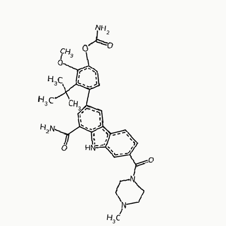 COc1c(OC(N)=O)ccc(-c2cc(C(N)=O)c3[nH]c4cc(C(=O)N5CCN(C)CC5)ccc4c3c2)c1C(C)(C)C